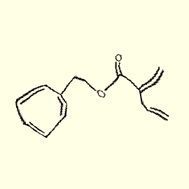 C=CC(=C)C(=O)OCc1ccccc1